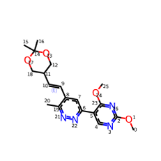 COc1ncc(-c2cc(/C=C/C3COC(C)(C)OC3)c(C)nn2)c(OC)n1